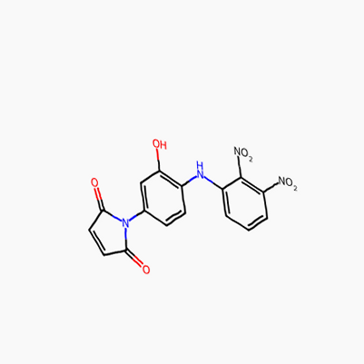 O=C1C=CC(=O)N1c1ccc(Nc2cccc([N+](=O)[O-])c2[N+](=O)[O-])c(O)c1